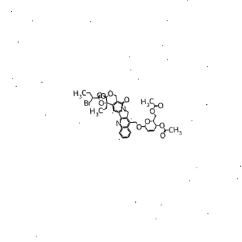 CCC(Br)C(=O)O[C@]1(CC)C(=O)OCc2c1cc1n(c2=O)Cc2c-1nc1ccccc1c2COC1C=CC(OC(C)=O)C(COC(C)=O)O1